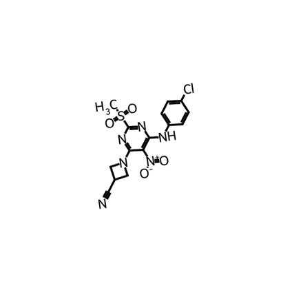 CS(=O)(=O)c1nc(Nc2ccc(Cl)cc2)c([N+](=O)[O-])c(N2CC(C#N)C2)n1